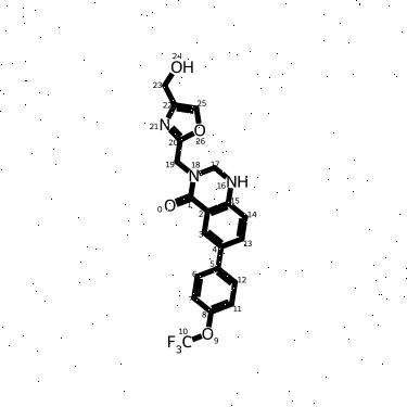 O=C1c2cc(-c3ccc(OC(F)(F)F)cc3)ccc2NCN1Cc1nc(CO)co1